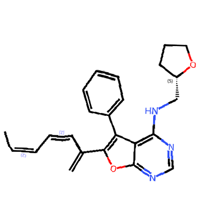 C=C(/C=C\C=C/C)c1oc2ncnc(NC[C@@H]3CCCO3)c2c1-c1ccccc1